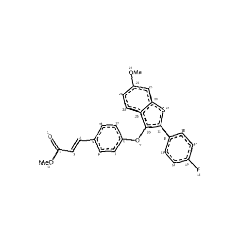 COC(=O)/C=C/c1ccc(Oc2c(-c3ccc(F)cc3)sc3cc(OC)ccc23)cc1